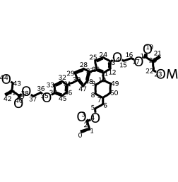 C=CC(=O)OCCC1CCC(c2cc(OCCOC(=O)C(=C)COC)ccc2-c2ccc(-c3ccc(OCCOC(=O)C(=C)CO)cc3)cc2)CC1